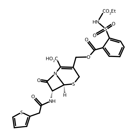 CCOC(=O)NS(=O)(=O)c1ccccc1C(=O)OCC1=C(C(=O)O)N2C(=O)[C@@H](NC(=O)Cc3cccs3)[C@@H]2SC1